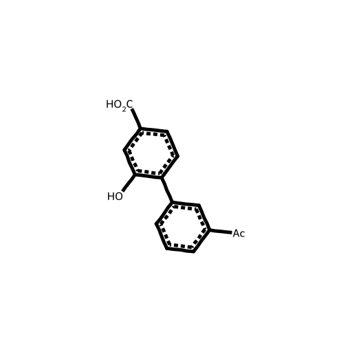 CC(=O)c1cccc(-c2ccc(C(=O)O)cc2O)c1